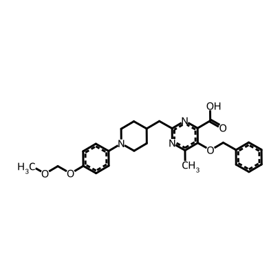 COCOc1ccc(N2CCC(Cc3nc(C)c(OCc4ccccc4)c(C(=O)O)n3)CC2)cc1